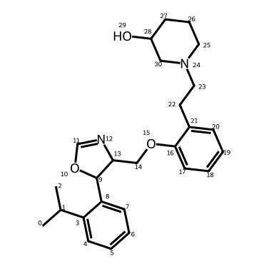 CC(C)c1ccccc1C1OC=NC1COc1ccccc1CCN1CCCC(O)C1